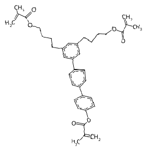 C=C(C)C(=O)OCCCCc1cc(CCCCOC(=O)C(=C)C)cc(-c2ccc(-c3ccc(OC(=O)C(=C)C)cc3)cc2)c1